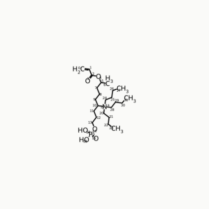 C=CC(=O)OC(C)CCCC(CCCOP(=O)(O)O)[N+](CCCC)(CCCC)CCCC